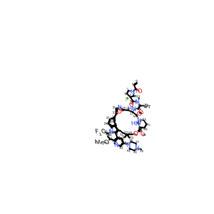 C=CC(=O)N1CC[C@](F)(C(=O)N(C)C(C(=O)N[C@H]2Cc3ncc(o3)-c3ccc4c(c3)c(c(-c3cc(N5CCN(C)CC5)cnc3[C@H](C)OC)n4CC(F)(F)F)CC(C)(C)COC(=O)[C@@H]3CCCN(N3)C2=O)C(C)C)C1